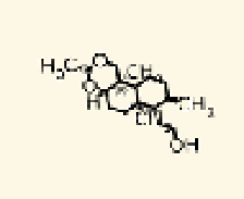 C=C1CCC2[C@]3(C)CO[C@@H](C)O[C@@H]3CC[C@@]2(C)[C@@H]1CCO